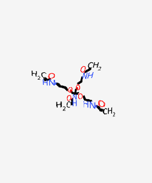 C=CC(=O)NCCCCOCC(COCCCNC(=O)C=C)(COCCCNC(=O)C=C)NC(=O)C=C